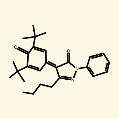 CCCCC1=NN(c2ccccc2)C(=O)C1=C1C=C(C(C)(C)C)C(=O)C(C(C)(C)C)=C1